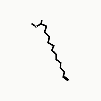 [CH]=CCCCCCCCCCCCC(C)SC